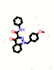 COc1ccc(Cn2nc(C(=O)Nc3ccccc3)c(=O)c3ccccc32)cc1